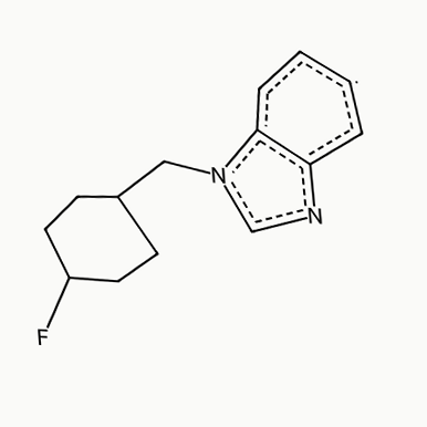 FC1CCC(Cn2cnc3c[c]ccc32)CC1